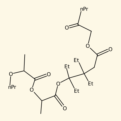 CCCOC(C)C(=O)OC(C)C(=O)OC(CC)(CC)C(CC)(CC)CC(=O)OCC(=O)CCC